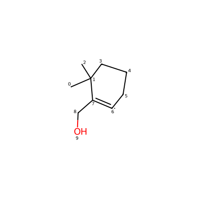 CC1(C)CCC[C]=C1CO